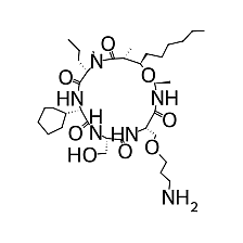 CCCCCC[C@H]1O[C@@H](C)NC(=O)[C@H](COCCCN)NC(=O)[C@H](CO)NC(=O)[C@H](C2CCCCC2)NC(=O)[C@H](CCC)N(C)C(=O)[C@@H]1C